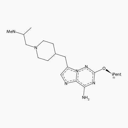 CCC[C@H](C)Oc1nc(N)c2ncc(CC3CCN(CC(C)NC)CC3)n2n1